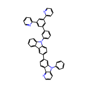 c1ccc(-n2c3cc(-c4ccc5c(c4)c4ccccc4n5-c4cccc(-c5cc(-c6ccccn6)cc(-c6ccccn6)c5)c4)ccc3c3ncccc32)cc1